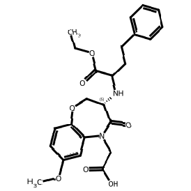 CCOC(=O)C(CCc1ccccc1)N[C@H]1COc2ccc(OC)cc2N(CC(=O)O)C1=O